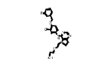 OCCOCCN1CCc2ncnc(Nc3ccc(OCc4cccc(F)c4)c(Cl)c3)c21